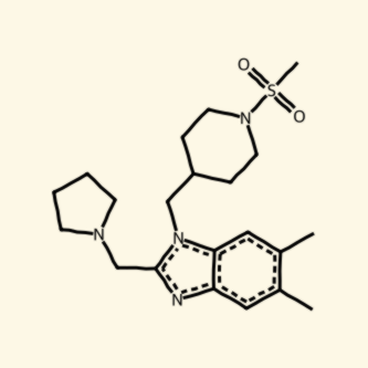 Cc1cc2nc(CN3CCCC3)n(CC3CCN(S(C)(=O)=O)CC3)c2cc1C